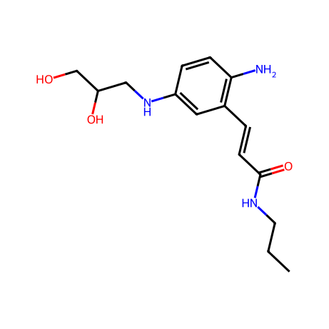 CCCNC(=O)C=Cc1cc(NCC(O)CO)ccc1N